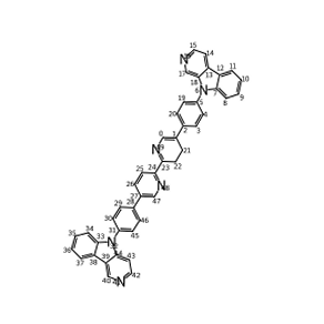 C1=C(c2ccc(-n3c4ccccc4c4ccncc43)cc2)CCC(c2ccc(-c3ccc(-n4c5ccccc5c5cnccc54)cc3)cn2)=N1